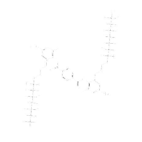 CCCCc1cc(C)c(OC(=O)c2ccc(C(=O)Oc3c(C)cc(C(C)CC)cc3CSCCC(F)(F)C(F)(F)C(F)(F)C(F)(F)C(F)(F)C(F)(F)C(F)(F)C(F)(F)F)cc2)c(CSCCC(F)(F)C(F)(F)C(F)(F)C(F)(F)C(F)(F)C(F)(F)C(F)(F)C(F)(F)F)c1